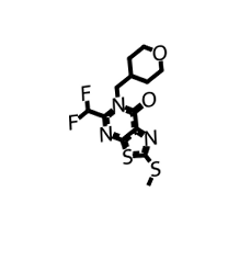 CSc1nc2c(=O)n(CC3CCOCC3)c(C(F)F)nc2s1